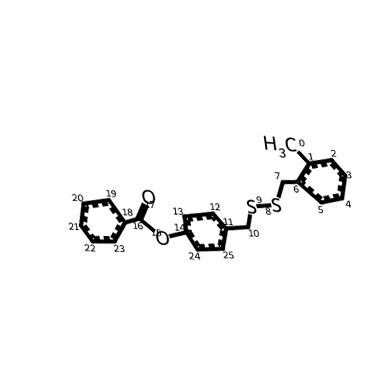 Cc1ccccc1CSSCc1ccc(OC(=O)c2ccccc2)cc1